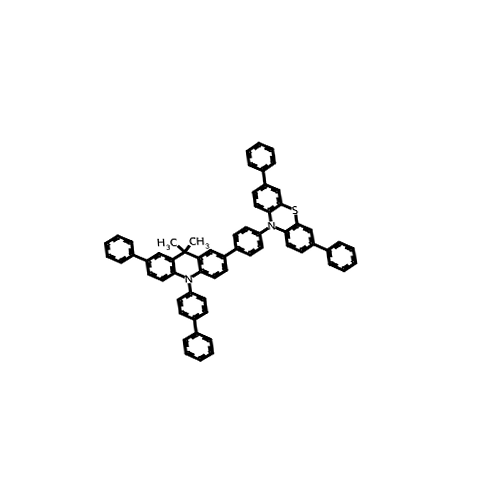 CC1(C)c2cc(-c3ccccc3)ccc2N(c2ccc(-c3ccccc3)cc2)c2ccc(-c3ccc(N4c5ccc(-c6ccccc6)cc5Sc5cc(-c6ccccc6)ccc54)cc3)cc21